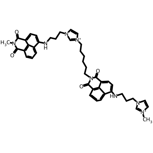 CN1C(=O)c2cccc3c(NCCCn4cc[n+](CCCCCCN5C(=O)c6cccc7c(NCCCn8cc[n+](C)c8)ccc(c67)C5=O)c4)ccc(c23)C1=O